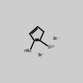 CCCCC1=[C]([Zr+2])CC=C1.[Br-].[Br-]